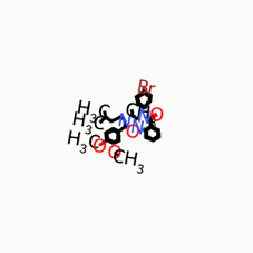 COc1ccc(C(=O)N(CCC(C)C)C(C)c2nc3ccccc3c(=O)n2-c2ccc(Br)cc2)cc1OC